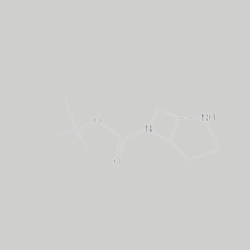 CC(C)(C)OC(=O)N1CC2NCCC21